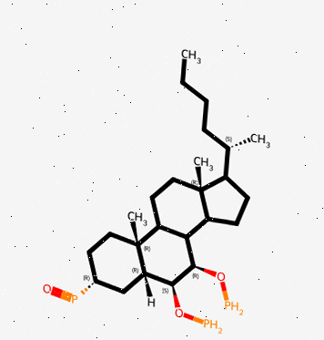 CCCC[C@H](C)C1CCC2C3C(CC[C@@]21C)[C@@]1(C)CC[C@@H](P=O)C[C@H]1[C@H](OP)[C@@H]3OP